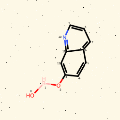 OBOc1ccc2cccnc2c1